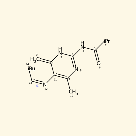 C=C1NC(NC(=O)C(C)C)=NC(C)=C1/N=C\C(C)CC